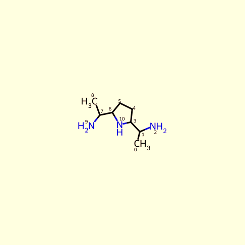 CC(N)C1CCC(C(C)N)N1